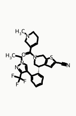 CCn1cc(-c2ccccc2[C@@H]2CN(C(=O)C3=CCCN(C)C3)Cc3sc(C#N)cc32)c(C(F)(F)F)n1